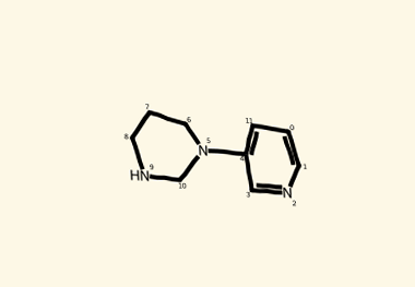 c1cncc(N2CCCNC2)c1